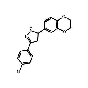 Clc1ccc(C2=NNC(c3ccc4c(c3)OCCO4)C2)cc1